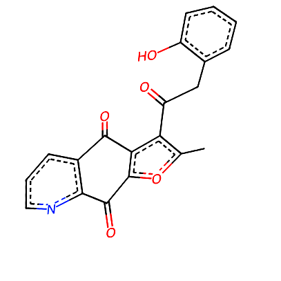 Cc1oc2c(c1C(=O)Cc1ccccc1O)C(=O)c1cccnc1C2=O